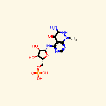 CN1NC(N)C(=O)c2c(N[C@@H]3O[C@H](COP(=O)(O)O)[C@@H](O)[C@H]3O)ncnc21